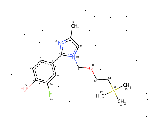 Bc1ccc(-c2nc(C)cn2COCCS(C)(C)C)cc1F